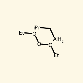 CC(C)[CH2][AlH2].CCOOOCC